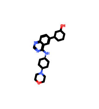 OC1CCCC(c2ccc3ncnc(N[C@H]4CC[C@H](N5CCOCC5)CC4)c3c2)C1